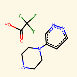 O=C(O)C(F)(F)F.c1cc(N2CCNCC2)cnn1